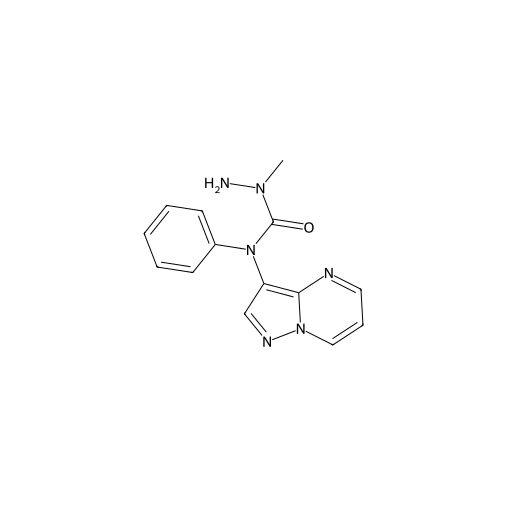 CN(N)C(=O)N(c1ccccc1)c1cnn2cccnc12